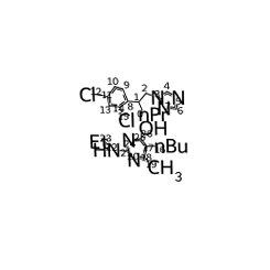 CCCC(Cn1cncn1)c1ccc(Cl)cc1Cl.CCCCc1c(C)nc(NCC)nc1O